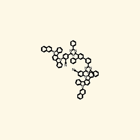 N#Cc1ccc(-n2c3ccccc3c3ccc4c(c5ccccc5n4-c4ccc5ccccc5c4)c32)c(-c2nc(-c3ccccc3)nc(-c3cccc(-c4ccc(-c5nc(-c6ccccc6)nc(-c6ccc(-n7c8ccccc8c8ccc9c(c%10ccccc%10n9-c9ccc%10ccccc%10c9)c87)c(C#N)c6)n5)c(-c5ccccc5)c4)c3)n2)c1